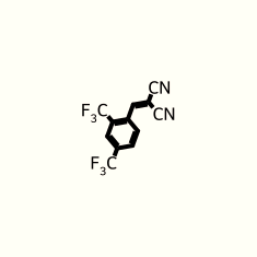 N#CC(C#N)=Cc1ccc(C(F)(F)F)cc1C(F)(F)F